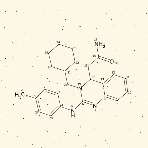 Cc1ccc(NC2=Nc3ccccc3C(CC(N)=O)N2CC2CCCCC2)cc1